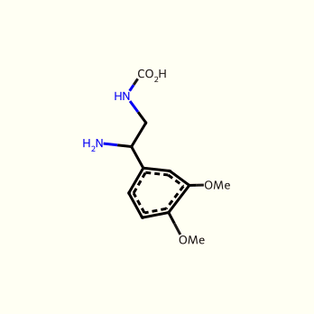 COc1ccc(C(N)CNC(=O)O)cc1OC